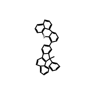 CC1(c2ccccc2)c2cc(-c3cccc4c3Sc3cccc5cccc-4c35)ccc2-c2ccc3ccccc3c21